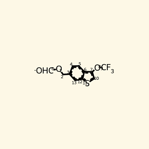 O=[C]OCc1ccc2c(OC(F)(F)F)csc2c1